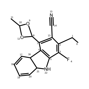 CCc1c(F)c2c(c(C3OC(C)O3)c1C#N)C1C=CC=CC1N2